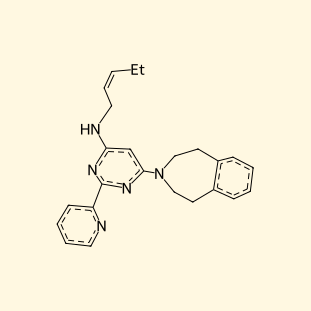 CC/C=C\CNc1cc(N2CCc3ccccc3CC2)nc(-c2ccccn2)n1